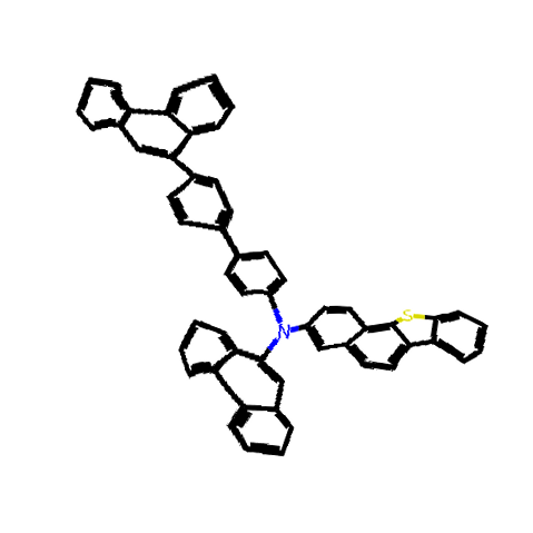 c1ccc2c(c1)cc(-c1ccc(-c3ccc(N(c4ccc5c(ccc6c7ccccc7sc56)c4)c4cc5ccccc5c5ccccc45)cc3)cc1)c1ccccc12